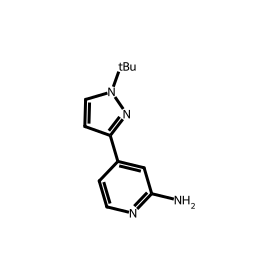 CC(C)(C)n1ccc(-c2ccnc(N)c2)n1